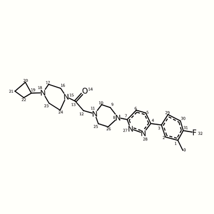 Cc1cc(-c2ccc(N3CCN(CC(=O)N4CCN(C5CCC5)CC4)CC3)nn2)ccc1F